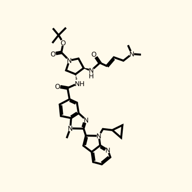 CN(C)C/C=C/C(=O)N[C@@H]1CN(C(=O)OC(C)(C)C)C[C@H]1NC(=O)c1ccc2c(c1)nc(-c1cc3cccnc3n1CC1CC1)n2C